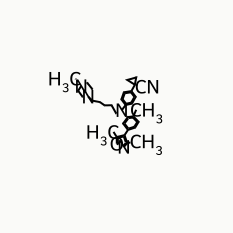 Cc1ccc(-c2c(C)noc2C)cc1N(CCCCCN1CCN(C)CC1)c1ccc(C2(C#N)CC2)cc1